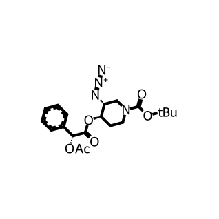 CC(=O)O[C@@H](C(=O)O[C@@H]1CCN(C(=O)OC(C)(C)C)C[C@H]1N=[N+]=[N-])c1ccccc1